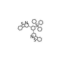 c1ccc([Si](c2ccccc2)(c2ccccc2)c2cc(-c3cnc4sc5ccccc5c4c3)cc(-c3cnc4sc5ccccc5c4c3)c2)cc1